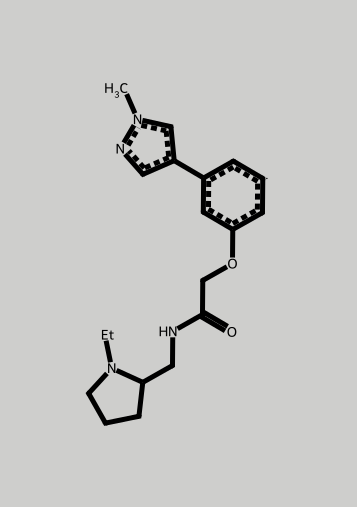 CCN1CCCC1CNC(=O)COc1c[c]cc(-c2cnn(C)c2)c1